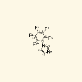 Fc1c(F)c(F)c(-n2[c]ncc2)c(F)c1F